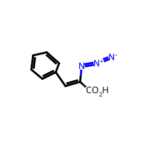 [N-]=[N+]=N/C(=C\c1ccccc1)C(=O)O